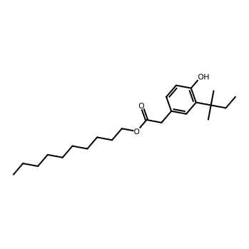 CCCCCCCCCCOC(=O)Cc1ccc(O)c(C(C)(C)CC)c1